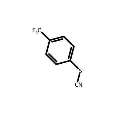 N#CSc1ccc(C(F)(F)F)cc1